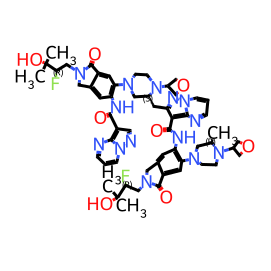 C[C@@H]1CN(c2cc3c(cc2NC(=O)c2c(C[C@H]4CN(c5cc6c(cc5NC(=O)c5cnn7cccnc57)CN(C[C@@H](F)C(C)(C)O)C6=O)CCN4C4COC4)nn4cccnc24)CN(C[C@@H](F)C(C)(C)O)C3=O)CCN1C1COC1